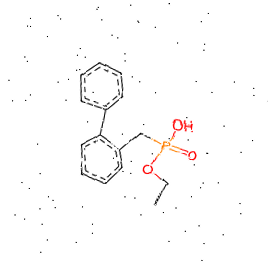 CCOP(=O)(O)Cc1ccccc1-c1ccccc1